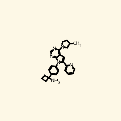 CC1CCN(c2ncnc3c2cc(-c2ccccn2)n3-c2ccc(C3(N)CCC3)cc2)C1